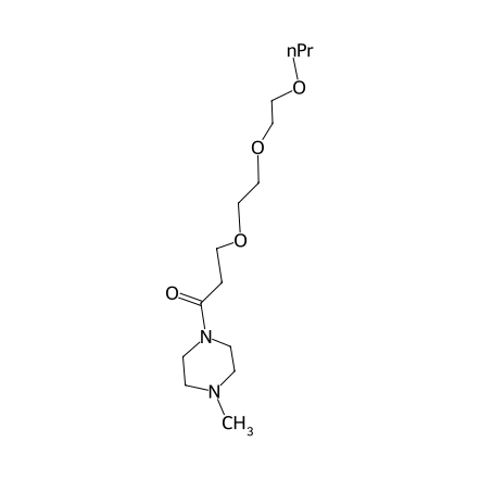 CCCOCCOCCOCCC(=O)N1CCN(C)CC1